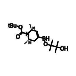 C[C@@H]1C=C(BOC(C)(C)C(C)(C)O)C[C@H](C)N1C(=O)OC(C)(C)C